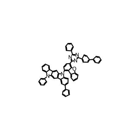 c1ccc(-c2ccc(-c3nc(-c4ccccc4)nc(-c4ccc(-n5c6ccc(-c7ccccc7)cc6c6cc7c(cc65)c5ccccc5n7-c5ccccc5)c5c4oc4ccccc45)n3)cc2)cc1